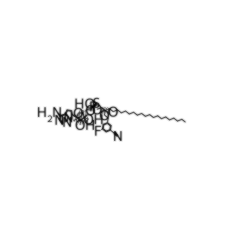 CCCCCCCCCCCCCCCCCCOC[C@H](COP(O)(=S)OC[C@H]1O[C@@](C)(c2ccc3c(N)ncnn23)[C@H](O)[C@@H]1O)OCc1cc(F)cc(C#N)c1